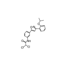 CC(C)Oc1ccccc1-c1cc(-c2cccc(NC(=O)C(Cl)Cl)c2)on1